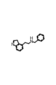 C1=Nc2cccc(CCNCc3ccccc3)c2C1